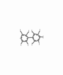 Ic1[c]c(I)c(I)c(-c2c(I)c(I)c(I)c(I)c2I)c1I